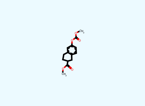 COC(=O)Oc1ccc2c(c1)CCC(C(=O)OC)C2